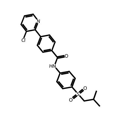 CC(C)CS(=O)(=O)c1ccc(NC(=O)c2ccc(-c3ncccc3Cl)cc2)cc1